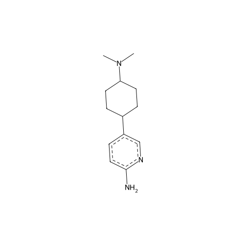 CN(C)C1CCC(c2ccc(N)nc2)CC1